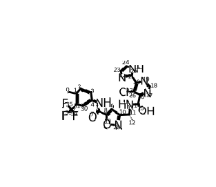 Cc1ccc(NC(=O)c2cc([C@@H](C)NC(O)c3ncnc(-c4ncc[nH]4)c3Cl)no2)cc1C(F)(F)F